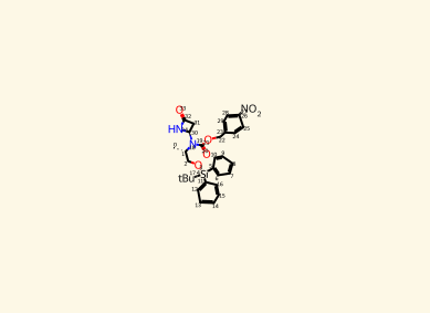 C[C@@H](CO[Si](c1ccccc1)(c1ccccc1)C(C)(C)C)N(C(=O)OCc1ccc([N+](=O)[O-])cc1)[C@@H]1CC(=O)N1